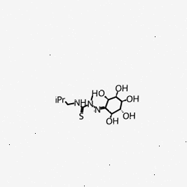 CC(C)CNC(=S)N(C)/N=C1\[C@@H](O)[C@@H](O)[C@@H](O)[C@H](O)[C@H]1O